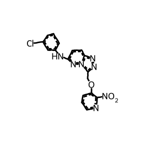 O=[N+]([O-])c1ncccc1OCc1nnc2ccc(Nc3cccc(Cl)c3)nn12